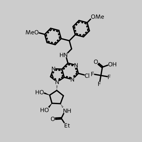 CCC(=O)N[C@H]1C[C@@H](n2cnc3c(NCC(c4ccc(OC)cc4)c4ccc(OC)cc4)nc(Cl)nc32)[C@H](O)[C@@H]1O.O=C(O)C(F)(F)F